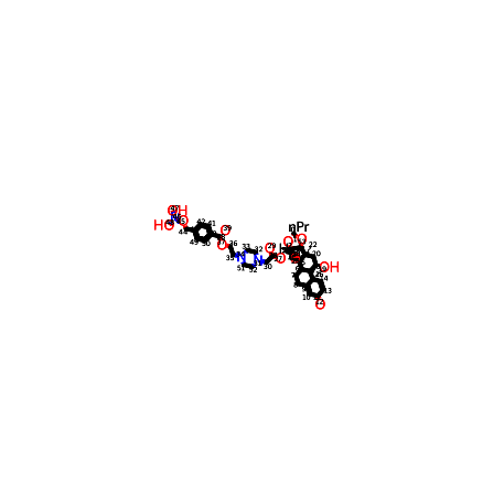 CCCC1O[C@@H]2CC3C4CCC5=CC(=O)C=C[C@]5(C)C4[C@@H](O)C[C@]3(C)[C@]2(C(=O)COC(=O)CN2CCN(CCOC(=O)c3ccc(CON(O)O)cc3)CC2)O1